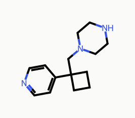 c1cc(C2(CN3CCNCC3)CCC2)ccn1